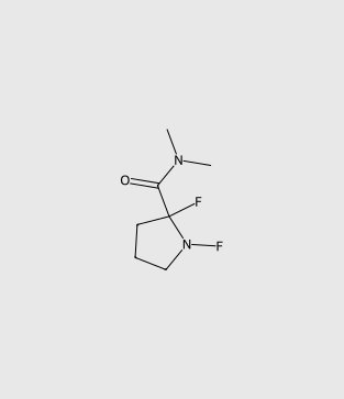 CN(C)C(=O)C1(F)CCCN1F